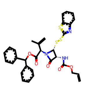 C=CCOC(=O)N[C@@H]1C(=O)N([C@H](C(=C)C)C(=O)OC(c2ccccc2)c2ccccc2)[C@@H]1SSc1nc2ccccc2s1